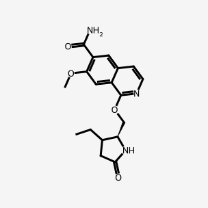 CCC1CC(=O)N[C@@H]1COc1nccc2cc(C(N)=O)c(OC)cc12